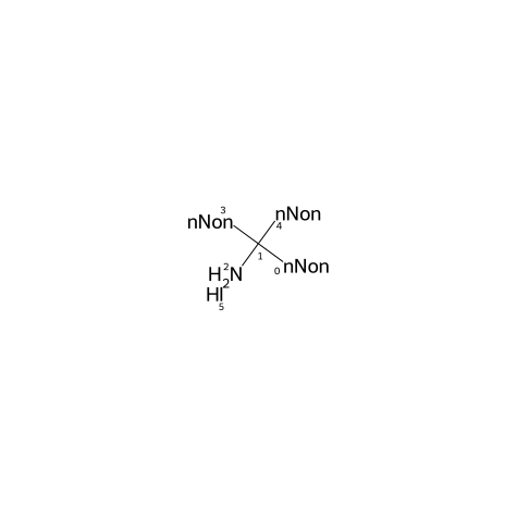 CCCCCCCCCC(N)(CCCCCCCCC)CCCCCCCCC.I